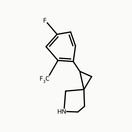 Fc1ccc(C2CC23CCNC3)c(C(F)(F)F)c1